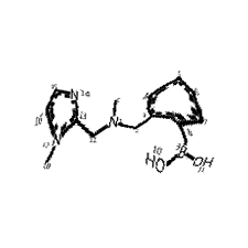 CN(Cc1ccccc1B(O)O)Cc1nccn1C